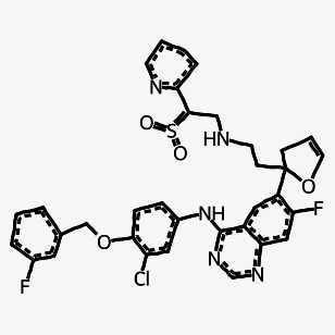 O=S(=O)=C(CNCCC1(c2cc3c(Nc4ccc(OCc5cccc(F)c5)c(Cl)c4)ncnc3cc2F)CC=CO1)c1ccccn1